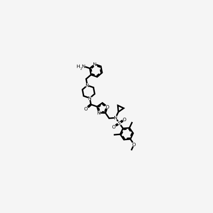 COc1cc(C)c(S(=O)(=O)N(Cc2nc(C(=O)N3CCN(Cc4cccnc4N)CC3)co2)C2CC2)c(C)c1